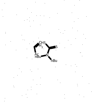 C=CC(C)=O.CCCCN(CCCC)C(=S)S